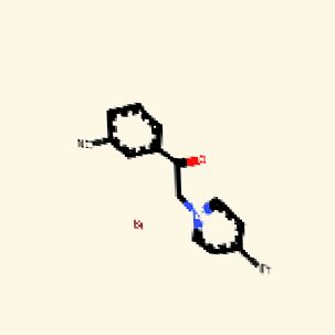 CC(C)c1cc[n+](CC(=O)c2cccc(C#N)c2)cc1.[Br-]